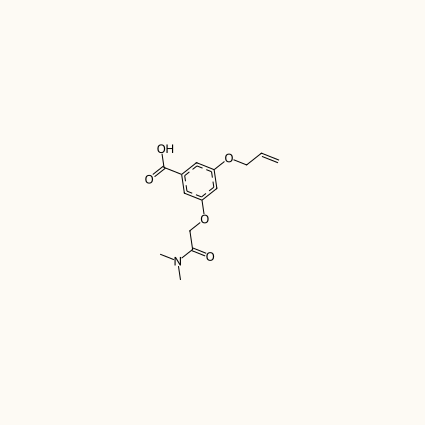 C=CCOc1cc(OCC(=O)N(C)C)cc(C(=O)O)c1